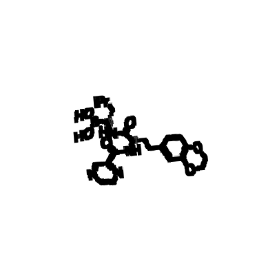 CC(C)C[C@H](NC(=O)[C@H](CCc1ccc2c(c1)OCCO2)NC(=O)c1cnccn1)B(O)O